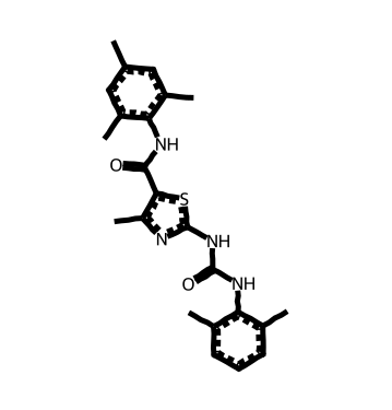 Cc1cc(C)c(NC(=O)c2sc(NC(=O)Nc3c(C)cccc3C)nc2C)c(C)c1